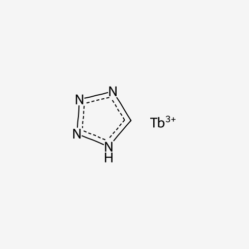 [Tb+3].c1nnn[nH]1